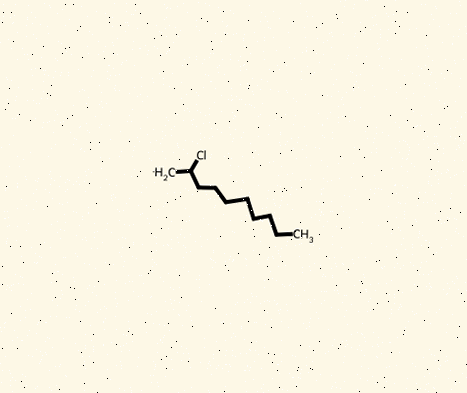 [CH2]C(Cl)CCCCCCCC